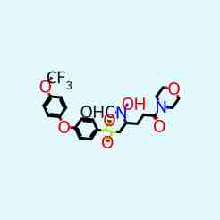 O=CN(O)C(CCC(=O)N1CCOCC1)CS(=O)(=O)c1ccc(Oc2ccc(OC(F)(F)F)cc2)cc1